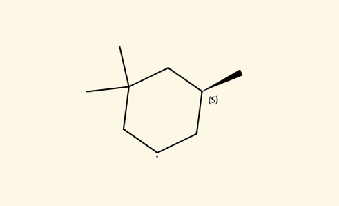 C[C@H]1C[CH]CC(C)(C)C1